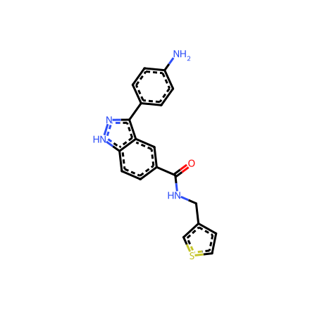 Nc1ccc(-c2n[nH]c3ccc(C(=O)NCc4ccsc4)cc23)cc1